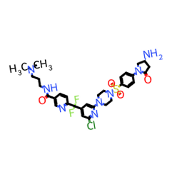 CN(C)CCCNC(=O)c1ccc(C(F)(F)c2cc(Cl)nc(N3CCN(S(=O)(=O)c4ccc(N5C[C@H](N)CC5=O)cc4)CC3)c2)nc1